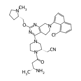 C[C@@H](N)CC(=O)N1CCN(c2nc(OC[C@@H]3CCCN3C)nc3c2CCN(c2cccc4cccc(Cl)c24)C3)C[C@@H]1CC#N